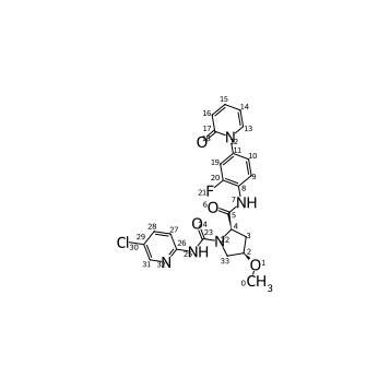 CO[C@@H]1C[C@H](C(=O)Nc2ccc(-n3ccccc3=O)cc2F)N(C(=O)Nc2ccc(Cl)cn2)C1